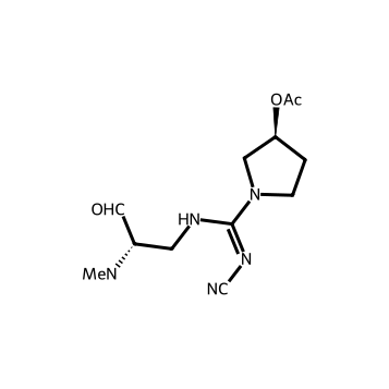 CN[C@H](C=O)CN/C(=N\C#N)N1CC[C@H](OC(C)=O)C1